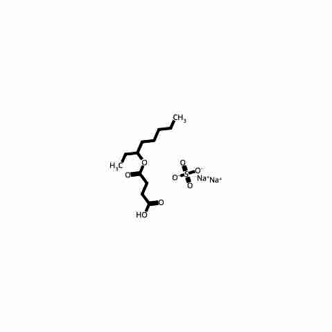 CCCCCC(CC)OC(=O)CCC(=O)O.O=S(=O)([O-])[O-].[Na+].[Na+]